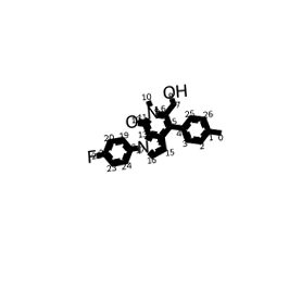 Cc1ccc(-c2c(CO)n(C)c(=O)c3c2ccn3-c2ccc(F)cc2)cc1